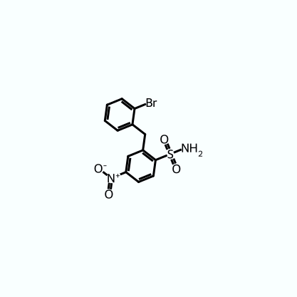 NS(=O)(=O)c1ccc([N+](=O)[O-])cc1Cc1ccccc1Br